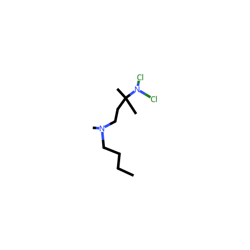 CCCCN(C)CCC(C)(C)N(Cl)Cl